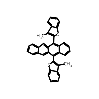 Cc1c(-c2c3ccccc3c(-c3sc4ccccc4c3C)c3cc4ccccc4cc23)sc2ccccc12